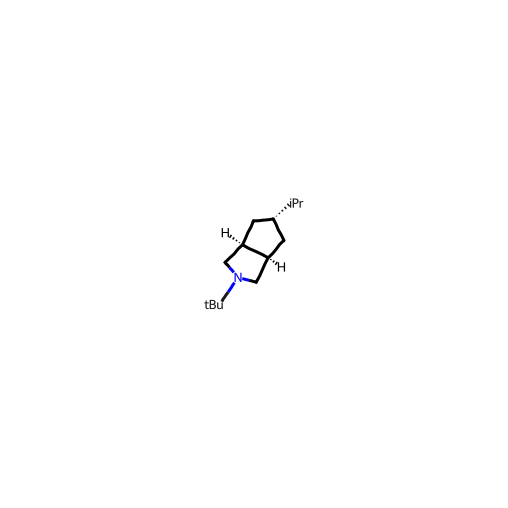 CC(C)[C@H]1C[C@@H]2CN(C(C)(C)C)C[C@@H]2C1